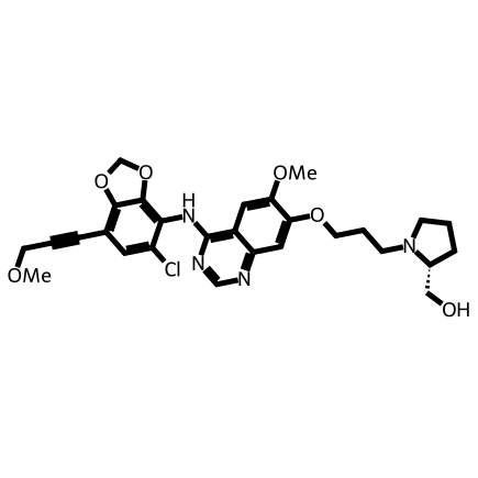 COCC#Cc1cc(Cl)c(Nc2ncnc3cc(OCCCN4CCC[C@@H]4CO)c(OC)cc23)c2c1OCO2